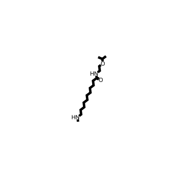 CNCCCCCCCCCCC(=O)NCCOC(C)C